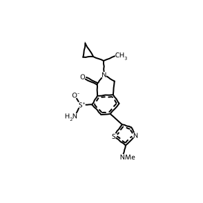 CNc1ncc(-c2cc3c(c([S+](N)[O-])c2)C(=O)N(C(C)C2CC2)C3)s1